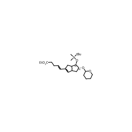 CCOC(=O)CCC=CC1=CC2C[C@@H](OC3CCCCO3)[C@H](O[Si](C)(C)C(C)(C)C)C2C1